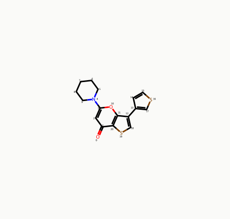 O=c1cc(N2CCCCC2)oc2c(-c3ccsc3)csc12